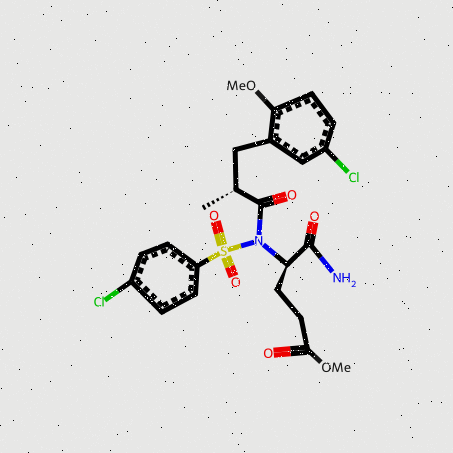 COC(=O)CC[C@H](C(N)=O)N(C(=O)[C@H](C)Cc1cc(Cl)ccc1OC)S(=O)(=O)c1ccc(Cl)cc1